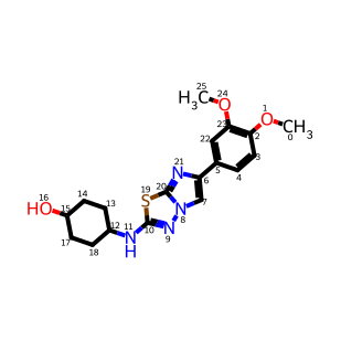 COc1ccc(-c2cn3nc(NC4CCC(O)CC4)sc3n2)cc1OC